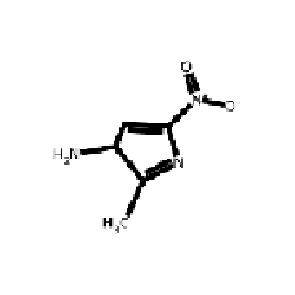 CC1=NC([N+](=O)[O-])=CC1N